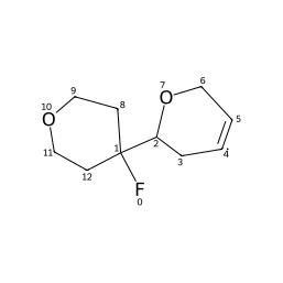 FC1(C2C[C]=CCO2)CCOCC1